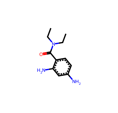 CCN(CC)C(=O)c1ccc(N)cc1N